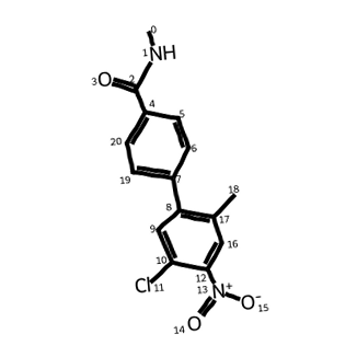 CNC(=O)c1ccc(-c2cc(Cl)c([N+](=O)[O-])cc2C)cc1